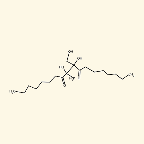 CCCCCCCC(=O)C(O)(P)C(O)(CO)C(=O)CCCCCCC